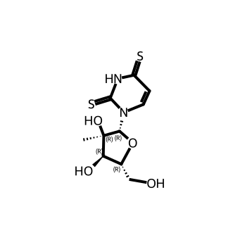 C[C@@]1(O)[C@H](O)[C@@H](CO)O[C@H]1n1ccc(=S)[nH]c1=S